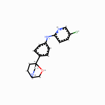 Clc1ccc(Nc2ccc(C34CCC(CO3)NC4)cc2)nc1